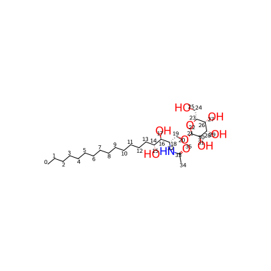 CCCCCCCCCCCCCC[C@@H](O)[C@@H](O)[C@H](CO[C@H]1O[C@H](CO)[C@H](O)[C@H](O)[C@H]1O)NC(C)=O